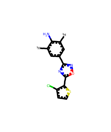 [3H]c1cc(-c2noc(-c3sccc3Cl)n2)cc([3H])c1N